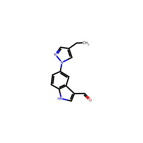 CCc1cnn(-c2ccc3[nH]cc(C=O)c3c2)c1